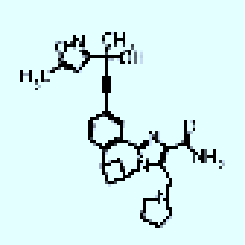 Cc1cc([C@](C)(O)C#Cc2ccc3c(c2)-c2nc(C(N)=O)c(CN4CCCC4)n2C2CC3C2)no1